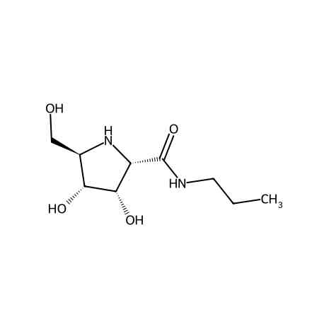 CCCNC(=O)[C@H]1N[C@H](CO)[C@@H](O)[C@H]1O